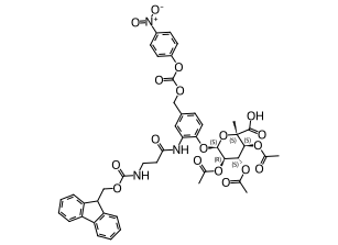 CC(=O)O[C@@H]1[C@@H](OC(C)=O)[C@@H](Oc2ccc(COC(=O)Oc3ccc([N+](=O)[O-])cc3)cc2NC(=O)CCNC(=O)OCC2c3ccccc3-c3ccccc32)O[C@](C)(C(=O)O)[C@H]1OC(C)=O